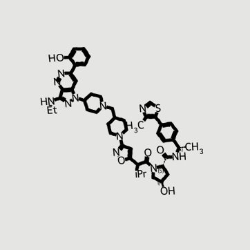 CCNc1nn(C2CCN(CC3CCN(c4cc(C(C(=O)N5C[C@H](O)C[C@H]5C(=O)N[C@@H](C)c5ccc(-c6scnc6C)cc5)C(C)C)on4)CC3)CC2)c2cc(-c3ccccc3O)nnc12